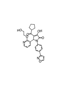 O=C(C1=C(O)C(=O)N(c2ccc(-c3ccon3)cc2)C1c1cccnc1OCCO)C1CCCC1